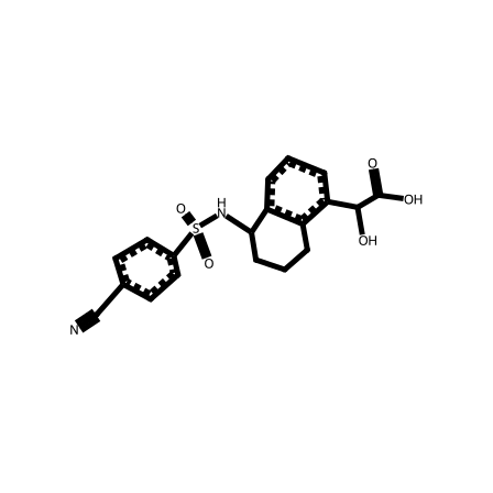 N#Cc1ccc(S(=O)(=O)NC2CCCc3c2cccc3C(O)C(=O)O)cc1